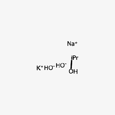 CC(C)O.[K+].[Na+].[OH-].[OH-]